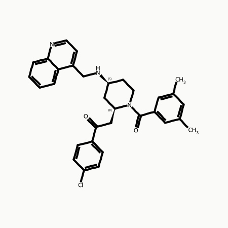 Cc1cc(C)cc(C(=O)N2CC[C@H](NCc3ccnc4ccccc34)C[C@@H]2CC(=O)c2ccc(Cl)cc2)c1